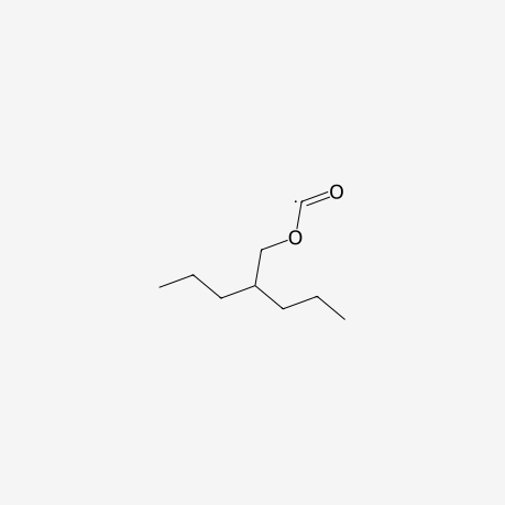 CCCC(CCC)CO[C]=O